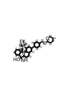 CCCC(O)(c1ccccc1)c1ccc2cc(-c3ccc(COC4CCCCO4)cc3)cc(P(=O)(OCC)OCC)c2n1